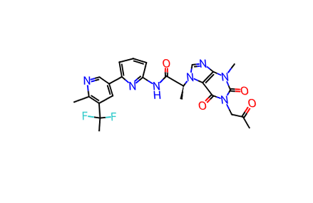 CC(=O)Cn1c(=O)c2c(ncn2[C@@H](C)C(=O)Nc2cccc(-c3cnc(C)c(C(C)(F)F)c3)n2)n(C)c1=O